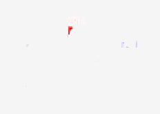 N[C]1CCCC[C@H]1O